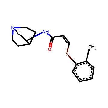 Cc1ccccc1S/C=C\C(=O)NC1CN2CCC1CC2